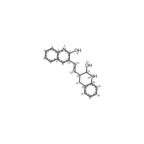 Oc1nc2ccccc2cc1N=NC1Cc2ccccc2NC1O